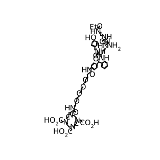 CCC(=O)NCCNC(=O)/N=C(/N)NCCC[C@@H](NC(=O)[C@H](c1ccccc1)c1ccc(NC(=O)CCOCCOCCOCCOCCNC(=O)CN2CCN(CC(=O)O)CCN(CC(=O)O)CCN(CC(=O)O)CC2)cc1)C(=O)NCc1ccc(O)cc1